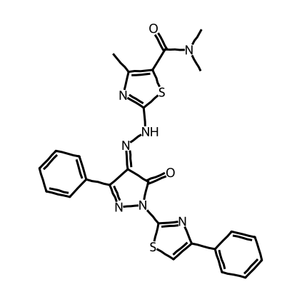 Cc1nc(N/N=C2\C(=O)N(c3nc(-c4ccccc4)cs3)N=C2c2ccccc2)sc1C(=O)N(C)C